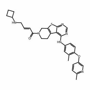 Cc1ccc(Oc2ccc(Nc3ncnc4sc5c(c34)CCN(C(=O)/C=C/CNC3CCC3)C5)cc2C)cn1